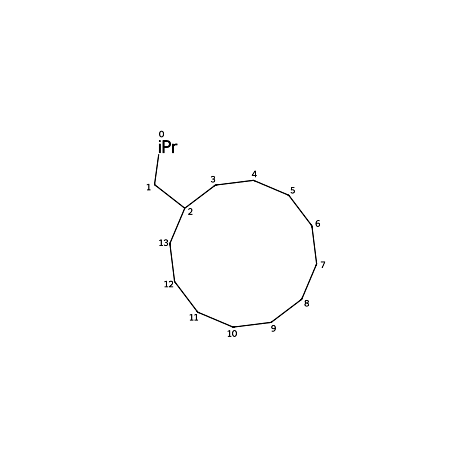 CC(C)CC1CCCCCCCCCCC1